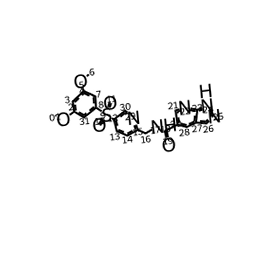 COc1cc(OC)cc(S(=O)(=O)c2ccc(CNC(=O)c3cnc4[nH]ncc4c3)nc2)c1